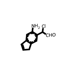 Nc1cc2c(cc1C(Cl)C=O)CC=C2